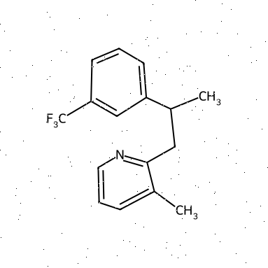 Cc1cccnc1CC(C)c1cccc(C(F)(F)F)c1